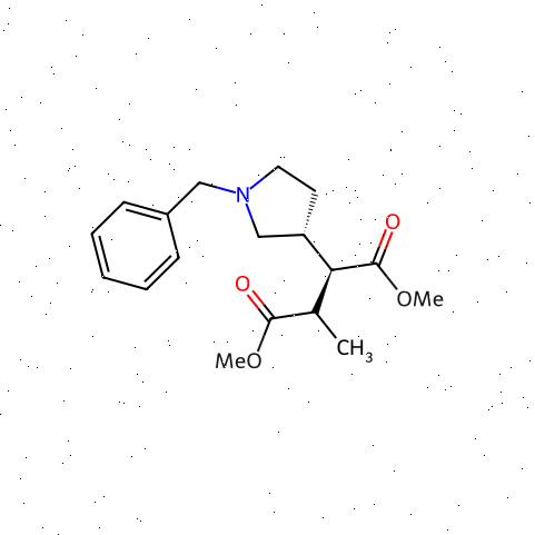 COC(=O)C(C)[C@H](C(=O)OC)[C@H]1CCN(Cc2ccccc2)C1